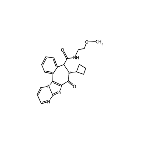 COCCNC(=O)C1c2ccccc2-c2c(nc3ncccn23)C(=O)N1C1CCC1